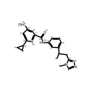 CC(Cc1nncn1C)c1cccc(NC(=O)c2cc(C=O)cc(C3CC3)n2)c1